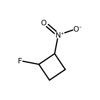 O=[N+]([O-])C1CCC1F